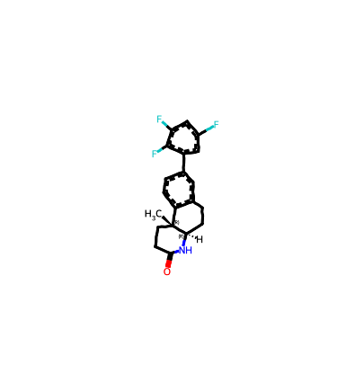 C[C@]12CCC(=O)N[C@@H]1CCc1cc(-c3cc(F)cc(F)c3F)ccc12